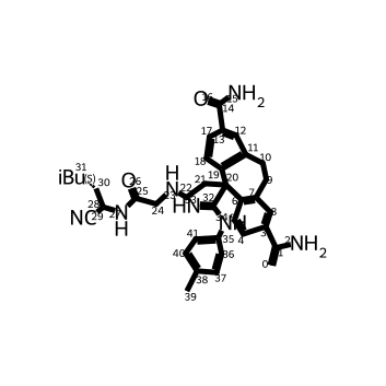 C=C(N)c1ccc2c(c1)CCc1cc(C(N)=O)ccc1C2(CCNCC(=O)NC(C#N)C[C@@H](C)CC)C(=N)Nc1ccc(C)cc1